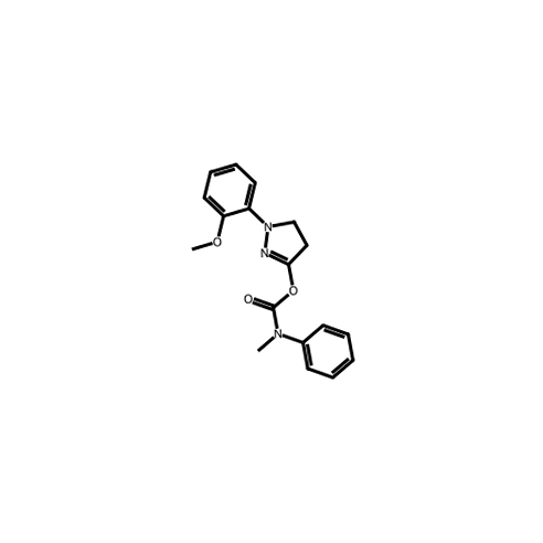 COc1ccccc1N1CCC(OC(=O)N(C)c2ccccc2)=N1